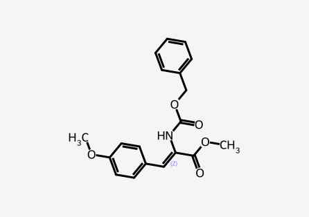 COC(=O)/C(=C/c1ccc(OC)cc1)NC(=O)OCc1ccccc1